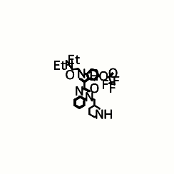 CCN(CC)C(=O)Cn1cc(-c2nc3ccccc3n(CC3CCCNC3)c2=O)c2ccccc21.O=C(O)C(F)(F)F